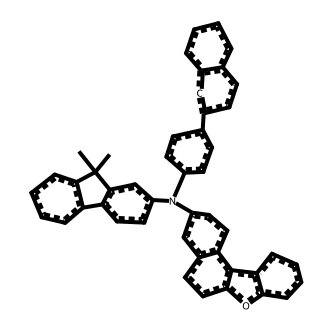 CC1(C)c2ccccc2-c2ccc(N(c3ccc(-c4ccc5ccccc5c4)cc3)c3ccc4c(ccc5oc6ccccc6c54)c3)cc21